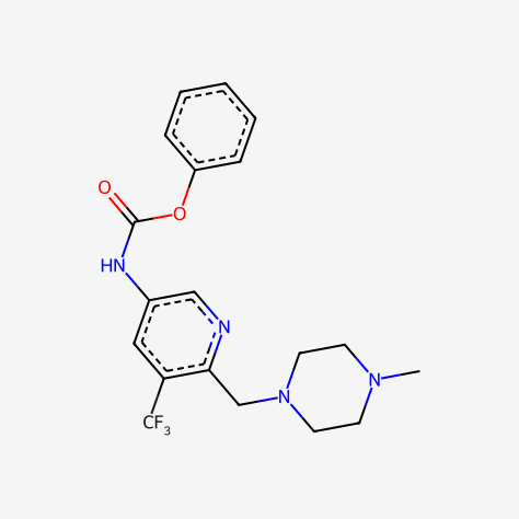 CN1CCN(Cc2ncc(NC(=O)Oc3ccccc3)cc2C(F)(F)F)CC1